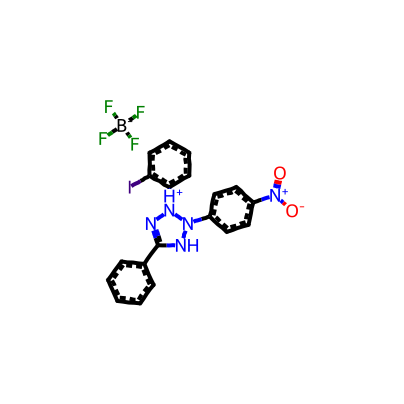 F[B-](F)(F)F.O=[N+]([O-])c1ccc(N2NC(c3ccccc3)=N[NH+]2c2ccccc2I)cc1